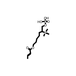 CC=CC(=O)OCCCCCC(COP(=O)(O)O)[N+](C)(C)C